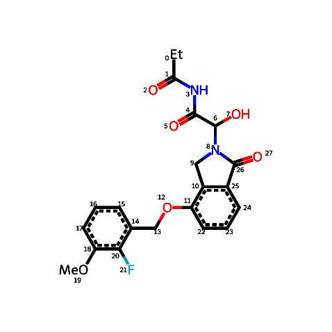 CCC(=O)NC(=O)C(O)N1Cc2c(OCc3cccc(OC)c3F)cccc2C1=O